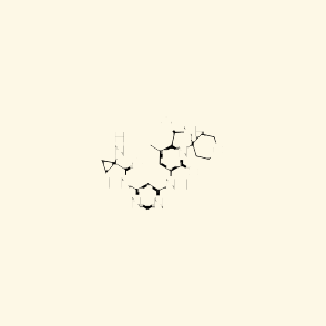 Cc1cc(Nc2cc(NC(=O)C3(N)CC3)ncn2)c(=O)n2c1C(=O)NC21CCOCC1